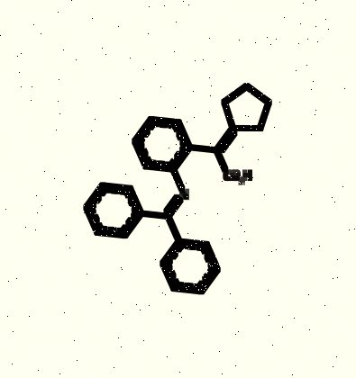 O=C(O)C(=C1CCCC1)c1ccccc1N=C(c1ccccc1)c1ccccc1